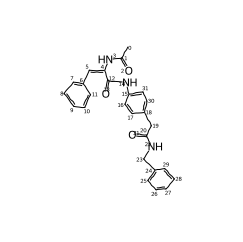 CC(=O)N/C(=C/c1ccccc1)C(=O)Nc1ccc(CC(=O)NCc2ccccc2)cc1